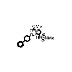 CNS(=O)(=O)NC1CCN(C(=O)OC)[C@H]1COC1CCC(c2ccccc2)CC1